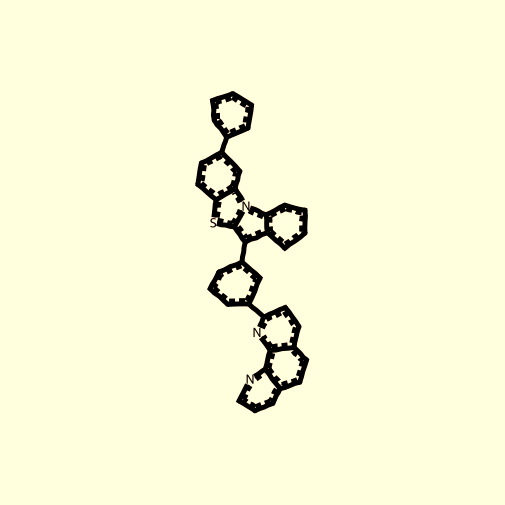 c1ccc(-c2ccc3sc4c(-c5cccc(-c6ccc7ccc8cccnc8c7n6)c5)c5ccccc5n4c3c2)cc1